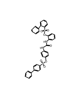 O=C(Nc1ccc(OS(=O)(=O)c2ccc(-c3ccccc3)cc2)cc1)Nc1ccccc1OS(=O)(=O)c1ccccc1-c1ccccc1